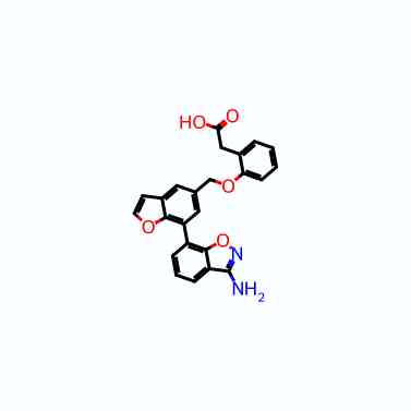 Nc1noc2c(-c3cc(COc4ccccc4CC(=O)O)cc4ccoc34)cccc12